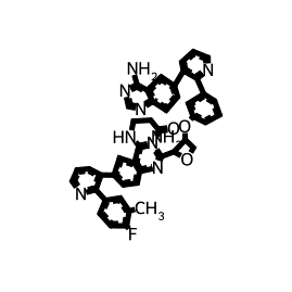 Cc1cc(-c2ncccc2-c2ccc3nc(C4OCC4Oc4cccc(-c5ncccc5-c5ccc6ncnc(N)c6c5)c4)nc(NCCC(N)=O)c3c2)ccc1F